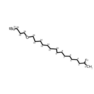 CC(F)CCCCCCCCCCCCCCOCCCC(C)(C)C